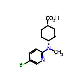 CN(c1ccc(Br)cn1)[C@H]1CC[C@H](C(=O)O)CC1